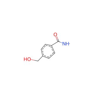 [NH]C(=O)c1ccc(CO)cc1